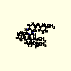 C=C(Nc1cccc(C2=C(C/C=C3/CCN(Cc4cccc(C)n4)C/C3=C/C=C/C)CCCC2)n1)C(C)(C)F